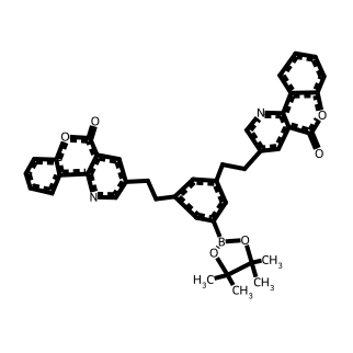 CC1(C)OB(c2cc(CCc3cnc4c(c3)c(=O)oc3ccccc34)cc(CCc3cnc4c(c3)c(=O)oc3ccccc34)c2)OC1(C)C